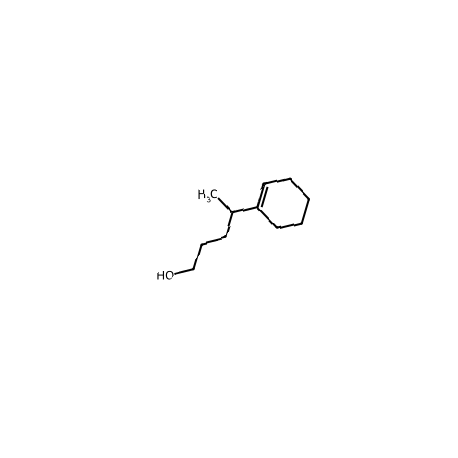 CC(CCCO)C1=CCCCC1